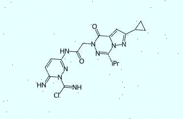 CC(C)c1nn(CC(=O)Nc2ccc(=N)n(C(=N)Cl)n2)c(=O)c2cc(C3CC3)nn12